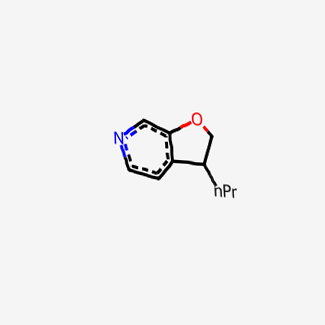 CCCC1COc2cnccc21